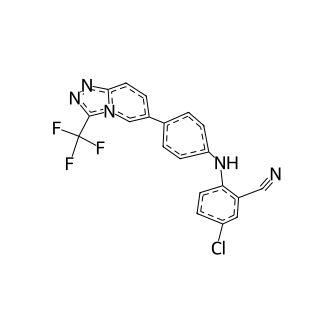 N#Cc1cc(Cl)ccc1Nc1ccc(-c2ccc3nnc(C(F)(F)F)n3c2)cc1